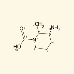 CC1C(N)CCCN1C(=O)O